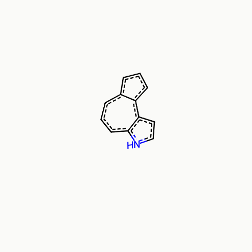 c1cc2cccc3[nH]ccc3c-2c1